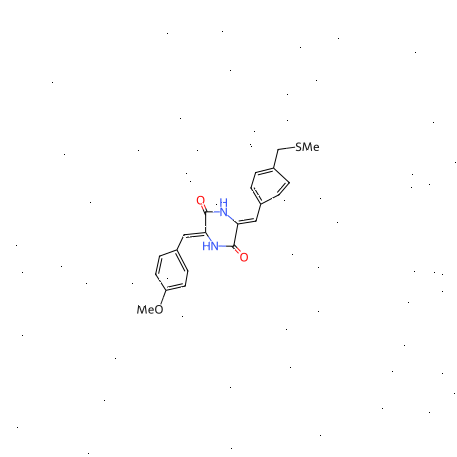 COc1ccc(C=c2[nH]c(=O)c(=Cc3ccc(CSC)cc3)[nH]c2=O)cc1